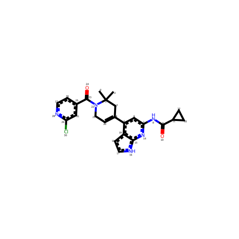 CC1(C)CC(c2cc(NC(=O)C3CC3)nc3[nH]ccc23)=CCN1C(=O)c1ccnc(Cl)c1